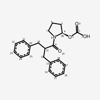 O=C(O)O[C@@H]1CCCN1C(=O)C(Cc1ccccc1)Cc1ccccc1